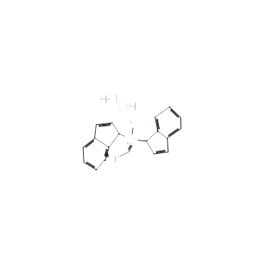 CC(C)[CH]=[Zr]([CH3])([CH]1C=Cc2ccccc21)[CH]1C=Cc2ccccc21.Cl.Cl